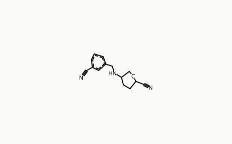 N#Cc1cccc(CNC2CCC(C#N)CC2)c1